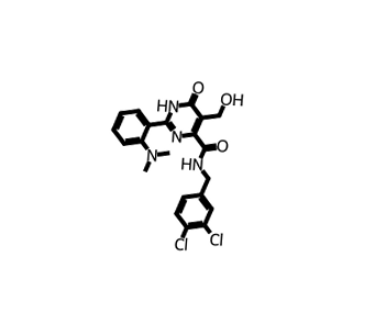 CN(C)c1ccccc1-c1nc(C(=O)NCc2ccc(Cl)c(Cl)c2)c(CO)c(=O)[nH]1